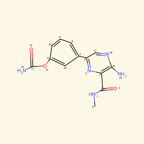 CNC(=O)c1nc(-c2cccc(OC(N)=O)c2)cnc1N